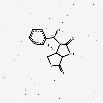 C[C@H](c1ccccc1)N1C(=O)NC2C(=O)SC[C@H]21